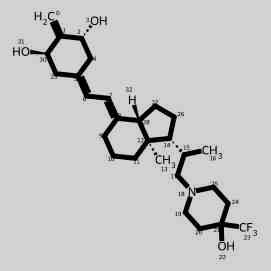 C=C1[C@H](O)CC(=C/C=C2\CCC[C@]3(C)[C@@H](C(C)CN4CCC(O)(C(F)(F)F)CC4)CC[C@@H]23)C[C@H]1O